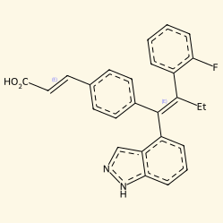 CC/C(=C(/c1ccc(/C=C/C(=O)O)cc1)c1cccc2[nH]ncc12)c1ccccc1F